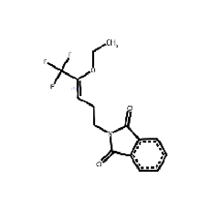 CCO/C(=C\CCN1C(=O)c2ccccc2C1=O)C(F)(F)F